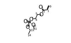 C=CC(=O)OCCOP(=O)(OC)OCC